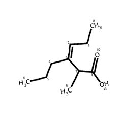 CCC=C(CCC)C(C)C(=O)O